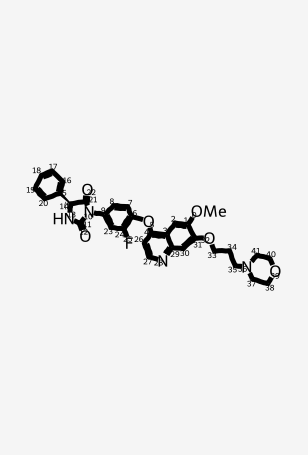 COc1cc2c(Oc3ccc(N4C(=O)N[C@@H](c5ccccc5)C4=O)cc3F)ccnc2cc1OCCCN1CCOCC1